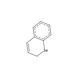 C1=Cc2ccccc2[Se]C1